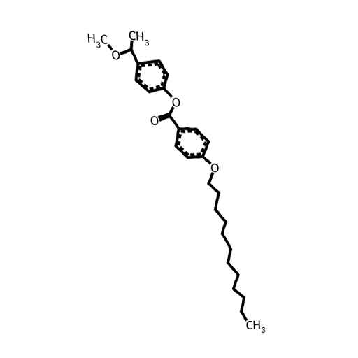 CCCCCCCCCCCCOc1ccc(C(=O)Oc2ccc(C(C)OC)cc2)cc1